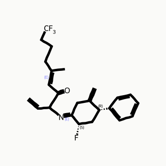 C=CC(/N=C1\CC(=C)[C@H](c2ccccc2)C[C@@H]1F)C(=O)/C=C(\C)CCCC(F)(F)F